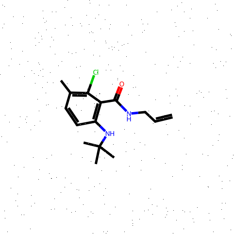 C=CCNC(=O)c1c(NC(C)(C)C)ccc(C)c1Cl